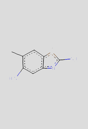 Cc1cc2sc(N)nc2cc1N